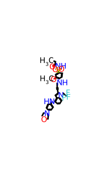 CCC(=O)NS(=O)(=O)c1ccc(NCC#Cc2cc3c(Nc4ccc(N5CCOCC5)cc4)cccc3n2CC(F)(F)F)c(OC)c1